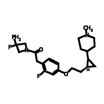 CN1CCC(C2C[C@H]2CCOc2ccc(CC(=O)N3CC(F)(P)C3)c(F)c2)CC1